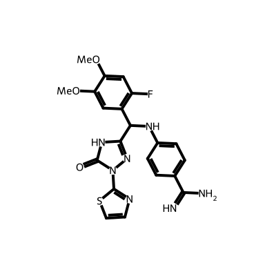 COc1cc(F)c(C(Nc2ccc(C(=N)N)cc2)c2nn(-c3nccs3)c(=O)[nH]2)cc1OC